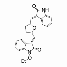 CCON1C(=O)/C(=C/C2CCC(/C=C3/C(=O)Nc4ccccc43)O2)c2ccccc21